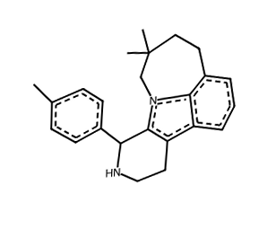 Cc1ccc(C2NCCc3c2n2c4c(cccc34)CCC(C)(C)C2)cc1